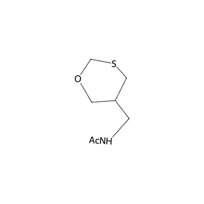 CC(=O)NCC1COCSC1